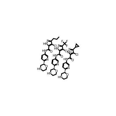 CCCc1n[nH]c(C(=O)Nc2ccc([C@@H]3CNCCO3)nc2)c1Cl.O=C(Nc1ccc([C@@H]2CNCCO2)nc1)c1[nH]nc(C(F)(F)F)c1Cl.O=C(Nc1ccc([C@@H]2CNCCO2)nc1)c1[nH]nc(C2CC2)c1Cl